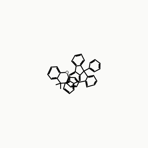 CC1(C)c2ccccc2Oc2cc(-c3ccccc3C3(c4ccccc4)c4ccccc4-c4cc5ccccc5cc43)ccc21